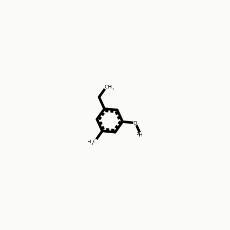 [2H]Oc1cc(C)cc(CC)c1